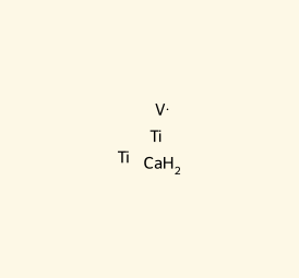 [CaH2].[Ti].[Ti].[V]